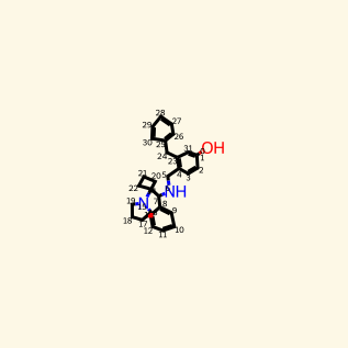 Oc1ccc(CNC(c2ccccc2)C2(N3CCCC3)CCC2)c(Cc2ccccc2)c1